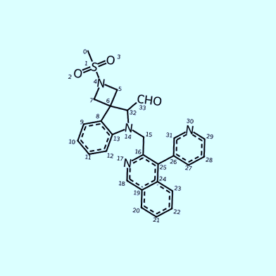 CS(=O)(=O)N1CC2(C1)c1ccccc1N(Cc1ncc3ccccc3c1-c1cccnc1)C2C=O